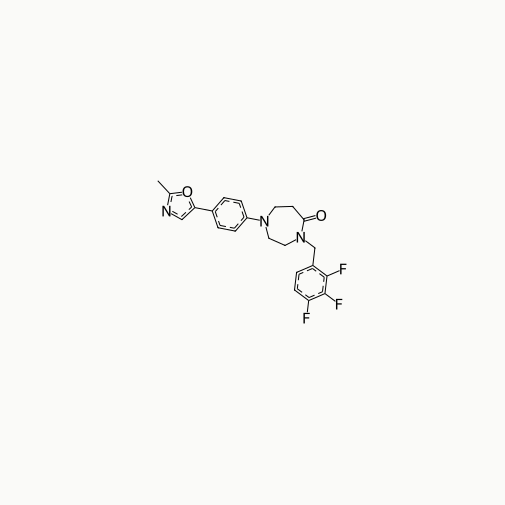 Cc1ncc(-c2ccc(N3CCC(=O)N(Cc4ccc(F)c(F)c4F)CC3)cc2)o1